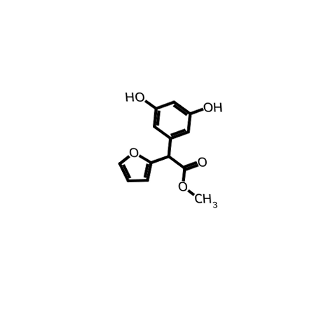 COC(=O)C(c1cc(O)cc(O)c1)c1ccco1